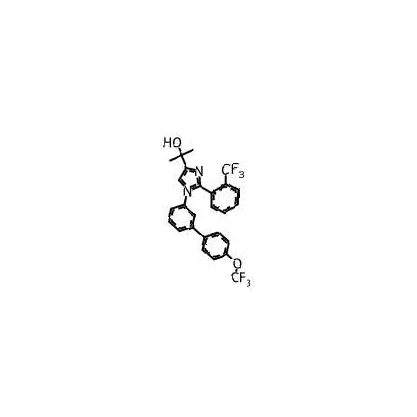 CC(C)(O)c1cn(-c2cccc(-c3ccc(OC(F)(F)F)cc3)c2)c(-c2ccccc2C(F)(F)F)n1